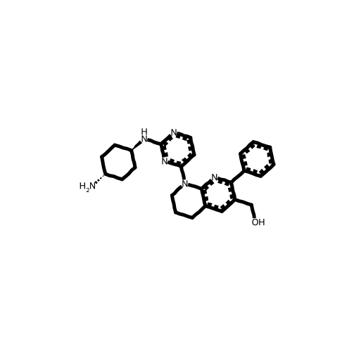 N[C@H]1CC[C@H](Nc2nccc(N3CCCc4cc(CO)c(-c5ccccc5)nc43)n2)CC1